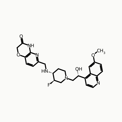 COc1ccc2nccc([C@@H](O)CN3CC[C@@H](NCc4ccc5c(n4)NC(=O)CO5)[C@H](F)C3)c2c1